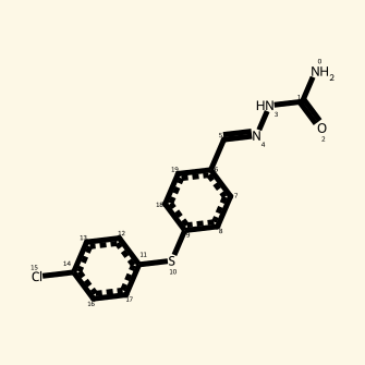 NC(=O)NN=Cc1ccc(Sc2ccc(Cl)cc2)cc1